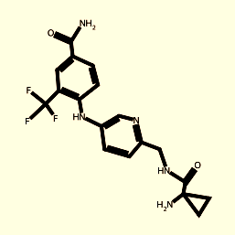 NC(=O)c1ccc(Nc2ccc(CNC(=O)C3(N)CC3)nc2)c(C(F)(F)F)c1